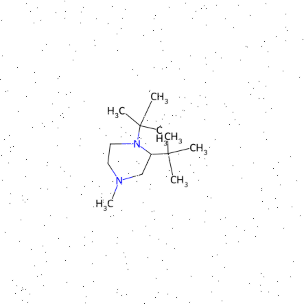 CN1CCN(C(C)(C)C)C(C(C)(C)C)C1